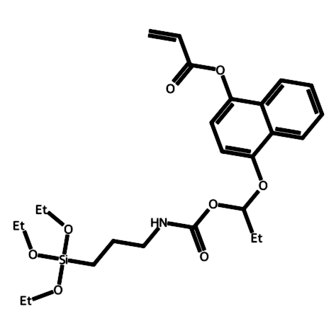 C=CC(=O)Oc1ccc(OC(CC)OC(=O)NCCC[Si](OCC)(OCC)OCC)c2ccccc12